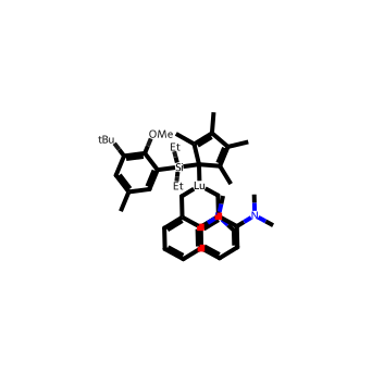 CC[Si](CC)(c1cc(C)cc(C(C)(C)C)c1OC)[C]1([Lu]([CH2]c2ccccc2N(C)C)[CH2]c2ccccc2N(C)C)C(C)=C(C)C(C)=C1C